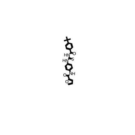 CC(C)(C)c1ccc(C(=O)NC(=S)Nc2ccc(NC(=O)c3ccco3)cc2)cc1